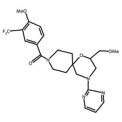 COCC1CN(c2ncccn2)CC2(CCN(C(=O)c3ccc(OC)c(C(F)(F)F)c3)CC2)O1